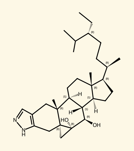 CC[C@H](CC[C@@H](C)[C@H]1CC[C@H]2[C@@H]3[C@@H](O)[C@@]4(O)C[C@@]45Cc4[nH]ncc4C[C@]5(C)[C@H]3CC[C@]12C)C(C)C